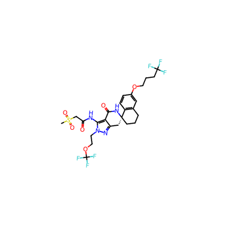 CS(=O)(=O)CC(=O)Nc1c2c(nn1CCOC(F)(F)F)C[C@]1(CCCc3cc(OCCCC(F)(F)F)ccc31)NC2=O